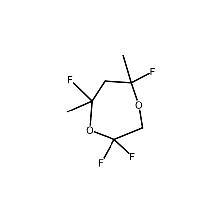 CC1(F)CC(C)(F)OC(F)(F)CO1